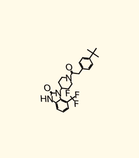 CC(C)(C)c1ccc(CC(=O)N2CCC(n3c(=O)[nH]c4cccc(C(F)(F)F)c43)CC2)cc1